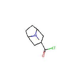 CN1C2CCC1CC(C(=O)Cl)C2